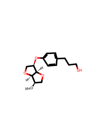 CO[C@@H]1CO[C@H]2[C@@H]1OC[C@H]2Oc1ccc(CCCO)cc1